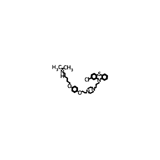 CC(C)NCCCCCOc1ccc(OCCN2CCN(CCCN3c4ccccc4Sc4ccc(Cl)cc43)CC2)cc1